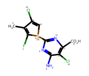 CC1=C(F)[SH](c2nc(N)c(Cl)c(C(=O)O)n2)C=C1Cl